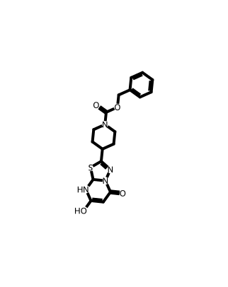 O=C(OCc1ccccc1)N1CCC(C2=NN3C(=O)C=C(O)NC3S2)CC1